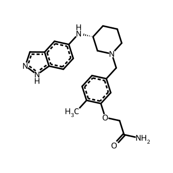 Cc1ccc(CN2CCC[C@@H](Nc3ccc4[nH]ncc4c3)C2)cc1OCC(N)=O